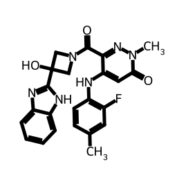 Cc1ccc(Nc2cc(=O)n(C)nc2C(=O)N2CC(O)(c3nc4ccccc4[nH]3)C2)c(F)c1